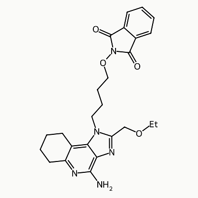 CCOCc1nc2c(N)nc3c(c2n1CCCCON1C(=O)c2ccccc2C1=O)CCCC3